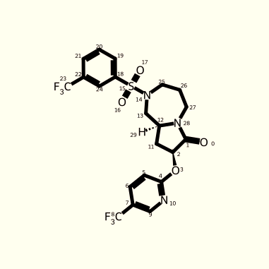 O=C1[C@@H](Oc2ccc(C(F)(F)F)cn2)C[C@H]2CN(S(=O)(=O)c3cccc(C(F)(F)F)c3)CCCN12